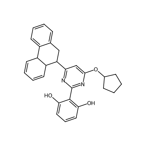 Oc1cccc(O)c1-c1nc(OC2CCCC2)cc(C2Cc3ccccc3C3C=CC=CC32)n1